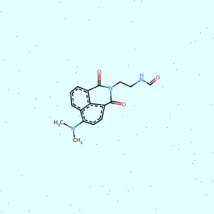 CN(C)c1ccc2c3c(cccc13)C(=O)N(CCNC=O)C2=O